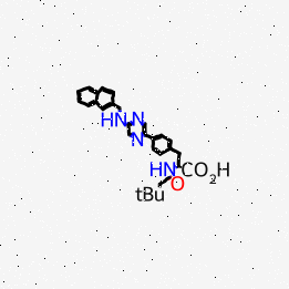 CC(C)(C)CC(=O)N[C@@H](Cc1ccc(-c2cnc(NCc3ccc4ccccc4c3)cn2)cc1)C(=O)O